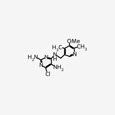 COc1c(C)ncc(CNc2nc(N)nc(Cl)c2N)c1C